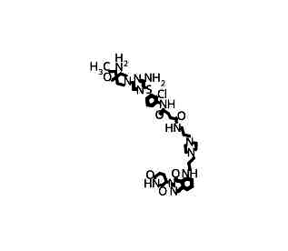 C[C@@H]1OCC2(CCN(c3cnc(Sc4cccc(NC(=O)CCC(=O)NCCCN5CCN(CCCNc6cccc7cnn(C8CCC(=O)NC8=O)c(=O)c67)CC5)c4Cl)c(N)n3)CC2)[C@@H]1N